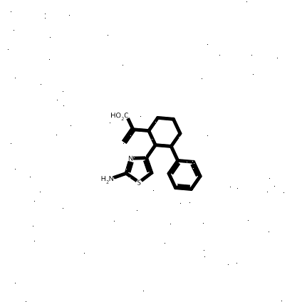 C=C(C(=O)O)C1CCCC(c2ccccc2)C1c1csc(N)n1